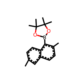 Cc1ccc2c(B3OC(C)(C)C(C)(C)O3)c(C)ccc2c1